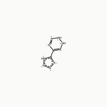 C1=C(c2nnn[nH]2)N=NNN1